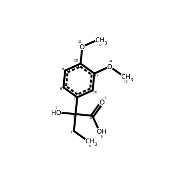 CCC(O)(C(=O)O)c1ccc(OC)c(OC)c1